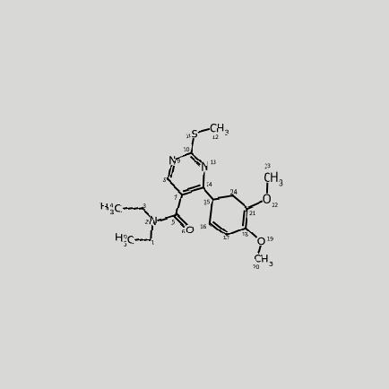 CCN(CC)C(=O)c1cnc(SC)nc1C1C=CC(OC)=C(OC)C1